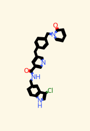 O=C(NCc1ccc2[nH]cc(Cl)c2c1)c1cncc(Cc2ccc(Cn3ccccc3=O)cc2)c1